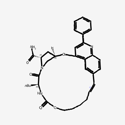 CCCC[C@@H]1NC(=O)OCCCC/C=C/c2ccc3nc(-c4ccccc4)cc(c3c2)O[C@@H]2C[C@@H](C(N)=O)N(C2)C1=O